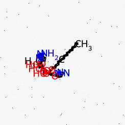 CCCCCCCCCCCCCCCCCCOC[C@H](CCOc1ccc(C#N)nn1)OP(=O)(O)OC[C@H]1O[C@@](C)(c2ccc3c(N)ncnn23)[C@H](O)[C@@H]1O